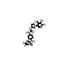 O=C(NC1CCC(NS(=O)(=O)CC(F)(F)F)CC1)O[C@@H]1CCN(c2cn[nH]c(=O)c2Cl)C1